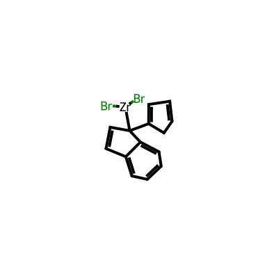 [Br][Zr]([Br])[C]1(C2=CC=CC2)C=Cc2ccccc21